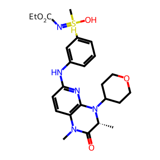 CCOC(=O)N=[SH](C)(O)c1cccc(Nc2ccc3c(n2)N(C2CCOCC2)[C@H](C)C(=O)N3C)c1